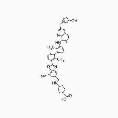 Cc1c(Nc2nccc3cc(CN4CC[C@@H](O)C4)cnc23)cccc1-c1cccc(-c2nc3cc(CNC4CCC(C(=O)O)CC4)cc(C#N)c3o2)c1C